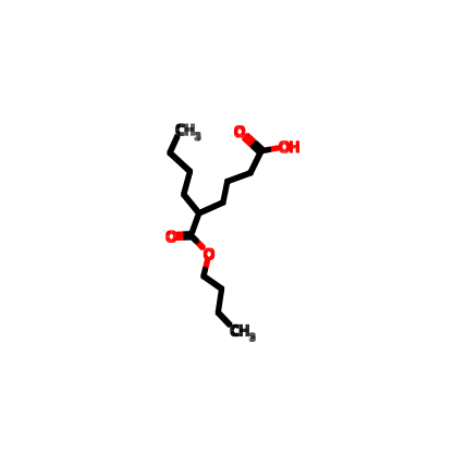 CCCCOC(=O)C(CCCC)CCCC(=O)O